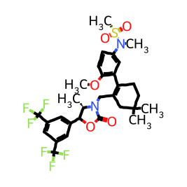 COc1ccc(N(C)S(C)(=O)=O)cc1C1=C(CN2C(=O)OC(c3cc(C(F)(F)F)cc(C(F)(F)F)c3)[C@@H]2C)CC(C)(C)CC1